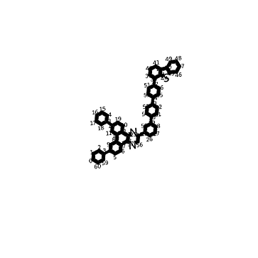 c1ccc(-c2ccc3c(c2)c2cc(-c4ccccc4)ccc2c2nc(-c4cccc(-c5ccc(-c6ccc(-c7cccc8c7sc7ccccc78)cc6)cc5)c4)cnc32)cc1